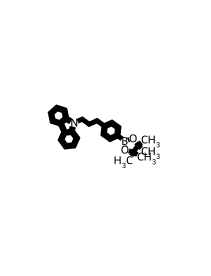 CC1(C)OB(c2ccc(CCCn3c4ccccc4c4ccccc43)cc2)OC1(C)C